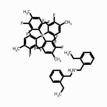 CCc1ccccc1C[NH2+]Cc1ccccc1CC.Cc1cc(F)c([B-](c2c(F)cc(C)c(F)c2F)(c2c(F)cc(C)c(F)c2F)c2c(F)cc(C)c(F)c2F)c(F)c1F